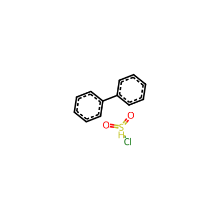 O=[SH](=O)Cl.c1ccc(-c2ccccc2)cc1